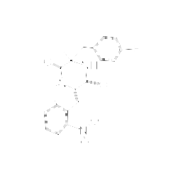 CN1C(=O)C(C)(Cc2ccc(F)cc2)NC(=O)C1=Cc1c(F)cccc1[N+](=O)[O-]